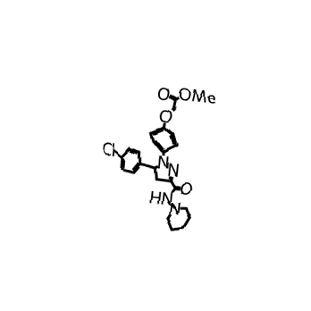 COC(=O)COc1ccc(N2N=C(C(=O)NN3CCCCC3)CC2c2ccc(Cl)cc2)cc1